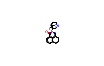 O=c1c2cccc3c2c(cn1[C@H]1CN2CCC1CC2)CCC3